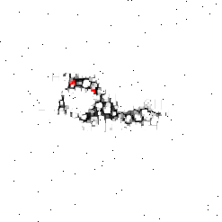 C=C1CC2CC[C@@]34OC5C6O[C@@](O)(C(O3)C6OC3CCC(CC(=O)OC6[C@H](C[C@H]7OC(CC[C@@H]1O2)C[C@@H](C)C7=C)O[C@H]1C[C@H]2OC7(CC8O[C@@]9(C[C@H](C)C8O7)C[C@H](C)C7OC(CC(=O)O)[C@H](O)C[C@@H]7O9)C[C@H]2O[C@H]1[C@@H]6C)O[C@@H]35)C4O